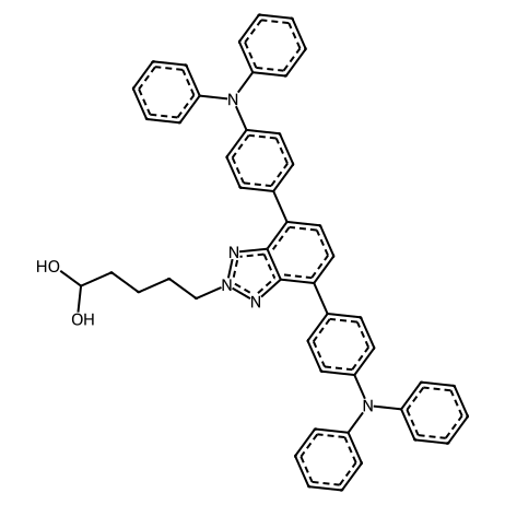 OC(O)CCCCn1nc2c(-c3ccc(N(c4ccccc4)c4ccccc4)cc3)ccc(-c3ccc(N(c4ccccc4)c4ccccc4)cc3)c2n1